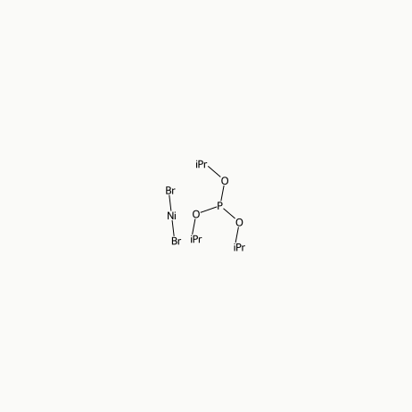 CC(C)OP(OC(C)C)OC(C)C.[Br][Ni][Br]